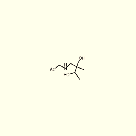 CC(=O)CNCC(C)(O)C(C)O